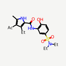 CCc1c(C(=O)Nc2cc(S(=O)(=O)N(CC)CC)ccc2O)[nH]c(C)c1C(C)=O